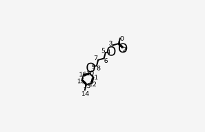 CC(=O)COCCCCOc1ccc(C)cc1